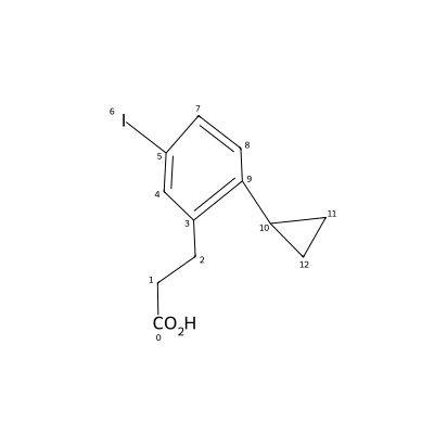 O=C(O)CCc1cc(I)ccc1C1CC1